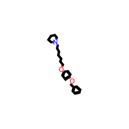 c1ccc(COc2ccc(OCCCCCCCN3CCCCC3)cc2)cc1